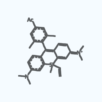 C=C[Si]1(C)C2=CC(=[N+](C)C)C=CC2=C(c2c(C)cc(C(C)=O)cc2C)c2ccc(N(C)C)cc21